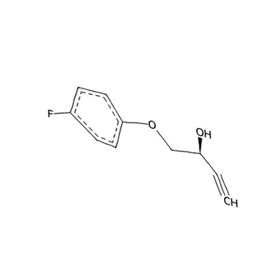 C#C[C@H](O)COc1ccc(F)cc1